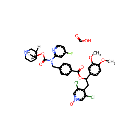 COc1ccc(C(Cc2c(Cl)c[n+]([O-])cc2Cl)OC(=O)c2ccc(CN(C(=O)O[C@H]3CN4CCC3CC4)c3cc(F)ccn3)cc2)cc1OC.O=CO